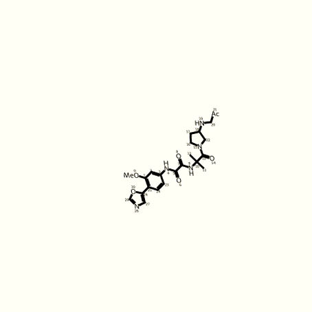 COc1cc(NC(=O)C(=O)NC(C)(C)C(=O)N2CCC(NCC(C)=O)C2)ccc1-c1cnco1